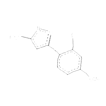 COc1ccc(-c2cc(C(=O)O)no2)c(F)c1